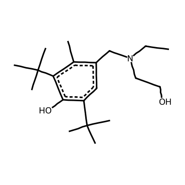 CCN(CCO)Cc1cc(C(C)(C)C)c(O)c(C(C)(C)C)c1C